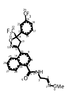 CO/N=C/CNC(=O)c1ccc(C2=NOC(c3cccc(C(F)(F)F)c3)(C(F)(F)F)C2)c2ccccc12